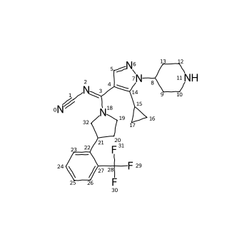 N#C/N=C(/c1cnn(C2CCNCC2)c1C1CC1)N1CCC(c2ccccc2C(F)(F)F)C1